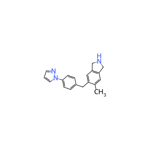 Cc1cc2c(cc1Cc1ccc(-n3cccn3)cc1)CNC2